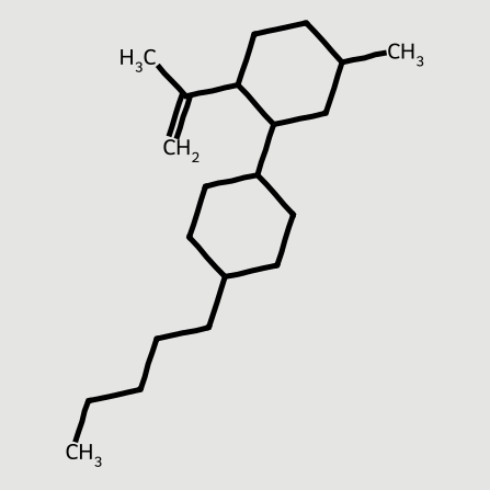 C=C(C)C1CCC(C)CC1C1CCC(CCCCC)CC1